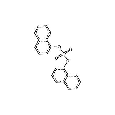 O=S(=O)(Oc1cccc2ccccc12)Oc1cccc2ccccc12